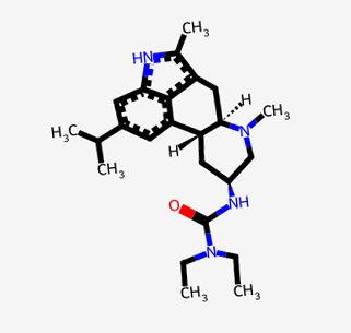 CCN(CC)C(=O)N[C@H]1C[C@@H]2c3cc(C(C)C)cc4[nH]c(C)c(c34)C[C@H]2N(C)C1